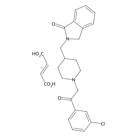 O=C(CN1CCC(CN2Cc3ccccc3C2=O)CC1)c1cccc(Cl)c1.O=C(O)/C=C/C(=O)O